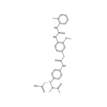 COc1cc(CC(=O)Nc2ccc([C@@H](CC(=O)O)N(C)C(C)=O)cc2)ccc1NC(=O)Nc1ccccc1C